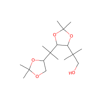 CC1(C)OCC(C(C)(C)C2OC(C)(C)OC2C(C)(C)CO)O1